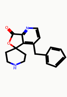 O=C1OC2(CCNCC2)c2c(Cc3ccccc3)ccnc21